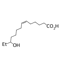 CCC(O)CCCC/C=C\CCCCC(=O)O